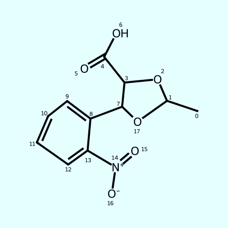 CC1OC(C(=O)O)C(c2ccccc2[N+](=O)[O-])O1